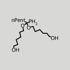 CCCCCC(P)(OCCCCCCO)OCCCCCCO